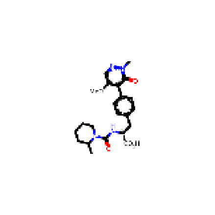 COc1cnn(C)c(=O)c1-c1ccc(C[C@H](NC(=O)N2CCCCC2C)C(=O)O)cc1